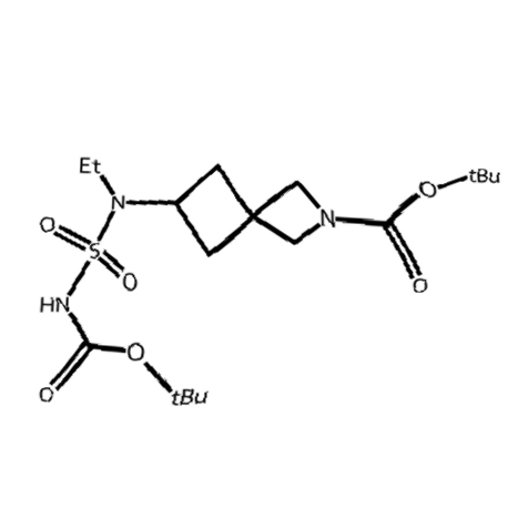 CCN(C1CC2(C1)CN(C(=O)OC(C)(C)C)C2)S(=O)(=O)NC(=O)OC(C)(C)C